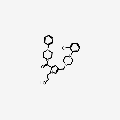 O=C(c1cc(CN2CCN(c3ccccc3Cl)CC2)cn1CCO)N1CCN(c2ccccc2)CC1